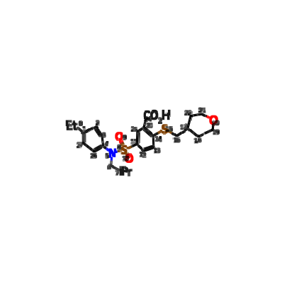 CCc1ccc(N(CC(C)C)S(=O)(=O)c2ccc(SCC3CCOCC3)c(C(=O)O)c2)cc1